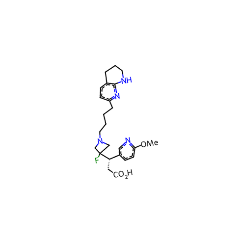 COc1ccc([C@H](CC(=O)O)C2(F)CN(CCCCc3ccc4c(n3)NCCC4)C2)cn1